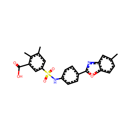 Cc1ccc2oc(-c3ccc(NS(=O)(=O)c4cc(C)c(C)c(C(=O)O)c4)cc3)nc2c1